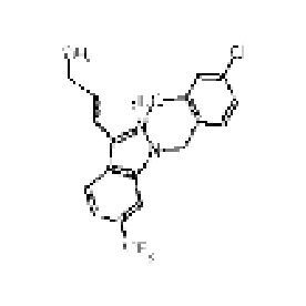 Cc1cc(Cl)ccc1Cn1nc(/C=C/CO)c2ccc(C(F)(F)F)cc21